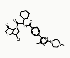 Cc1sc(N2CCN(C)CC2)nc1-c1ccc(C(=O)NC(C(=O)N2CC(Cl)C3OCC(=O)C32)C2CCCCC2)cc1